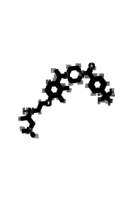 Cc1c(OCCNC(C)CN(C)C)ccc(C(C)N2CCN(C(=O)c3ccc(C(F)(F)F)cc3)CC2)c1C